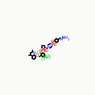 Cc1cc(C)c2cccc(OCc3c(Cl)ccc(S(=O)(=O)N4CCC[C@H]4C(=O)N4CCN(S(=O)(=O)c5ccc(C=NN)cc5)CC4)c3Cl)c2n1.Cl.Cl